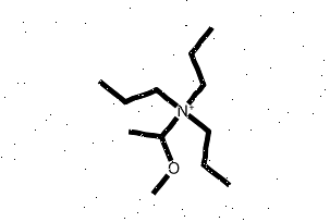 CCC[N+](CCC)(CCC)C(C)OC